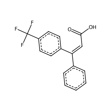 O=C(O)C=C(c1ccccc1)c1ccc(C(F)(F)F)cc1